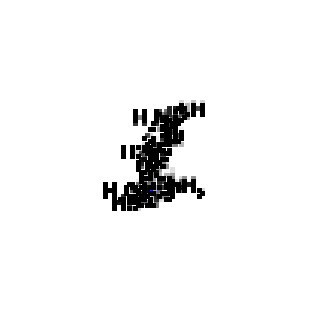 C[C@H](O/N=C(\C(=O)N[C@@H]1C(=O)N2C(C(=O)O)=C(C[n+]3cccc4c3cc(N)n4C3CCNCC3)CSC12)c1nc(N)sc1Cl)C(=O)O